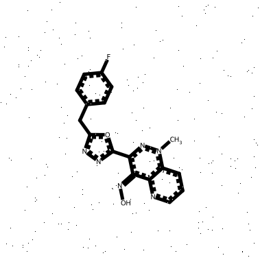 Cn1nc(-c2nnc(Cc3ccc(F)cc3)o2)/c(=N/O)c2ncccc21